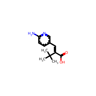 CC(C)(C)/C(=C\c1ccc(N)nc1)C(=O)O